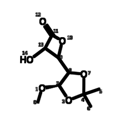 CO[C@@H]1OC(C)(C)OC1C1OC(=O)C1O